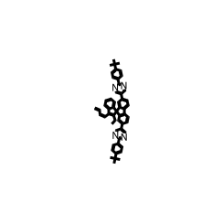 C=C/C=C\C1=C(CC)C2(c3ccccc31)c1cc(-c3cnc(-c4ccc(C(C)(C)C)cc4)nc3)ccc1-c1ccc(-c3cnc(-c4ccc(C(C)(C)C)cc4)nc3)cc12